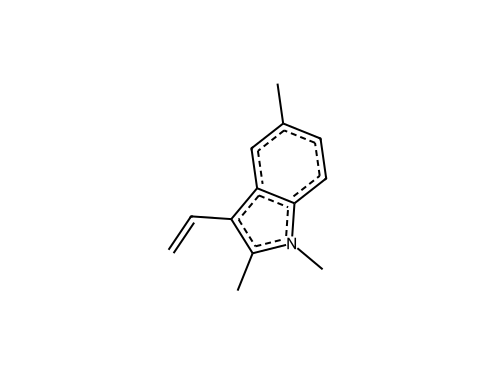 C=Cc1c(C)n(C)c2ccc(C)cc12